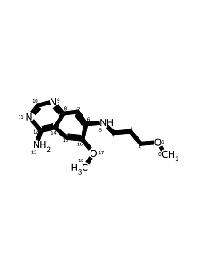 COCCCNc1cc2ncnc(N)c2cc1OC